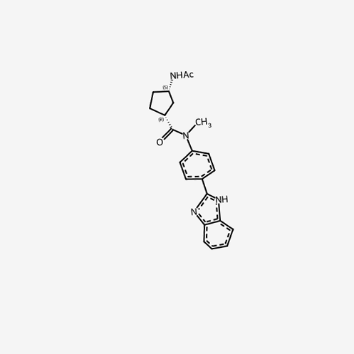 CC(=O)N[C@H]1CC[C@@H](C(=O)N(C)c2ccc(-c3nc4ccccc4[nH]3)cc2)C1